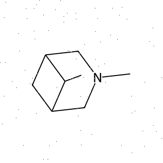 CC1C2CC1CN(C)C2